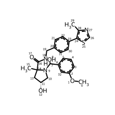 COc1cccc(C(O)N2C[C@H](O)CC2(C)C(=O)NCc2ccc(-c3scnc3C)cc2)c1